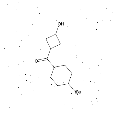 CC(C)(C)C1CCN(C(=O)C2CC(O)C2)CC1